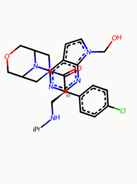 CC(C)NC[C@@H](C(=O)N1CC2COCC(C1)N2c1ncnc2c1ccn2CO)c1ccc(Cl)cc1